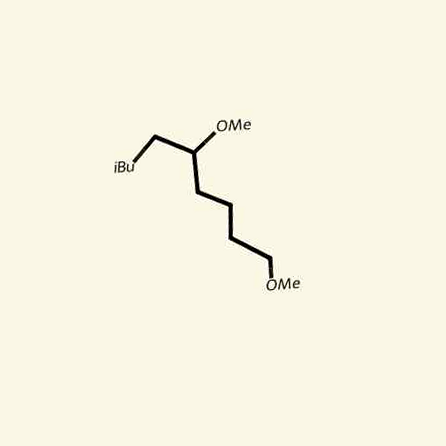 [CH2]C(CC)CC(CCCCOC)OC